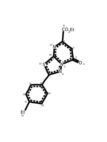 CCOC(=O)c1cc(=O)n2nc(-c3ccc(CC)cc3)sc2n1